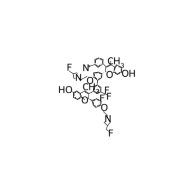 CC1=C(c2cccc(C#N)c2)[C@@H](c2ccc(OCCN3CC(CF)C3)c(-c3cc(C4=C(C)c5cc(O)ccc5O[C@@H]4c4ccc(OCCN5CC(CF)C5)cc4)cc(C(F)(F)F)c3)c2)Oc2cc(O)ccc21